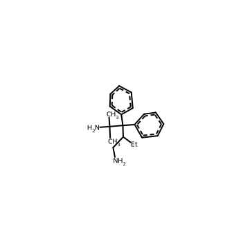 CCC(CN)C(c1ccccc1)(c1ccccc1)C(C)(C)N